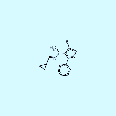 CC(N=CC1CC1)c1c(Br)cnn1-c1ccccn1